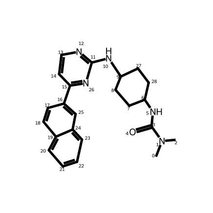 CN(C)C(=O)NC1CCC(Nc2nccc(-c3ccc4ccccc4c3)n2)CC1